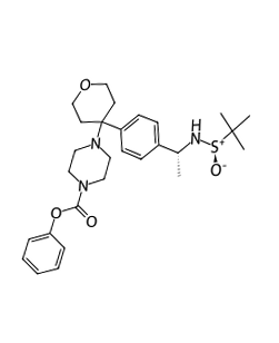 C[C@@H](N[S@+]([O-])C(C)(C)C)c1ccc(C2(N3CCN(C(=O)Oc4ccccc4)CC3)CCOCC2)cc1